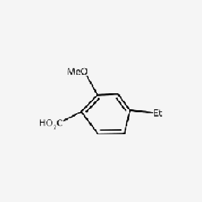 CCc1ccc(C(=O)O)c(OC)c1